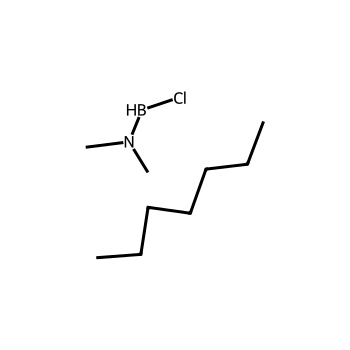 CCCCCCC.CN(C)BCl